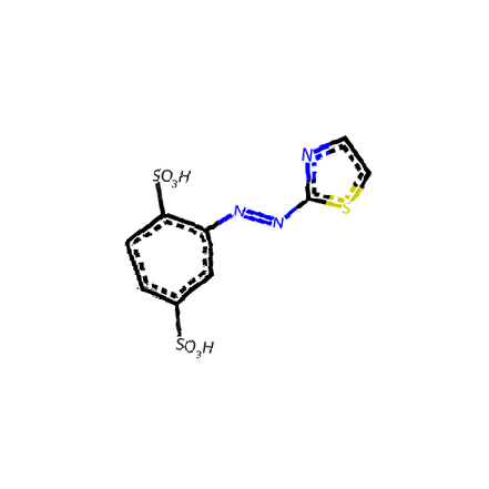 O=S(=O)(O)c1[c]cc(S(=O)(=O)O)c(/N=N/c2nccs2)c1